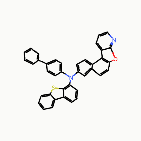 c1ccc(-c2ccc(N(c3ccc4c(ccc5oc6ncccc6c54)c3)c3cccc4c3sc3ccccc34)cc2)cc1